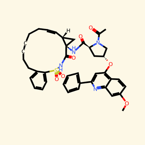 COc1ccc2c(O[C@@H]3C[C@@H](C(=O)N[C@]45C[C@H]4/C=C\CCCCCCc4ccccc4S(=O)(=O)NC5=O)N(C(C)=O)C3)cc(-c3ccccc3)nc2c1